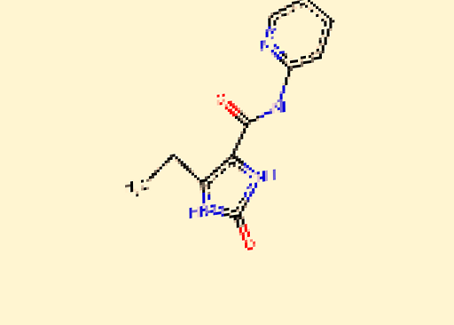 CCc1[nH]c(=O)[nH]c1C(=O)Nc1ccccn1